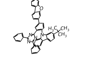 CC(C)(C)c1ccc2c3ccccc3n(-c3ccc(-c4ccc5c(c4)oc4ccccc45)cc3-c3nc(-c4ccccc4)nc(-c4ccccc4)n3)c2c1